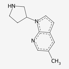 Cc1cnc2c(ccn2C2CCNC2)c1